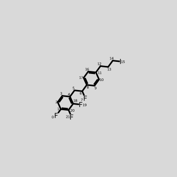 Fc1ccc(CC(F)c2ccc(CCCI)cc2)c(F)c1F